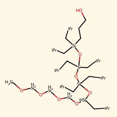 CC(C)C[SiH](O[SiH2]O[SiH2]O[SiH2]O[SiH3])O[Si](CC(C)C)(CC(C)C)O[Si](CC(C)C)(CC(C)C)O[Si](CCCO)(CC(C)C)CC(C)C